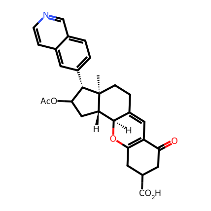 CC(=O)OC1C[C@H]2[C@@H]3OC4=C(C=C3CC[C@]2(C)[C@H]1c1ccc2cnccc2c1)C(=O)CC(C(=O)O)C4